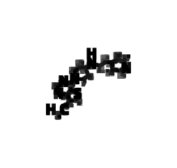 Cc1csc2c(N3CCC(NCCc4ccncc4)CC3)ncnc12